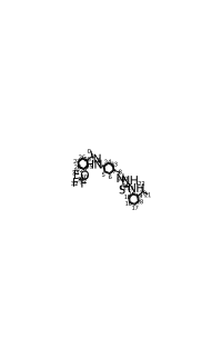 CC(=NNc1ccc(C=NNC(=S)Nc2ccccc2C(C)C)cc1)c1cccc(OC(F)(F)F)c1